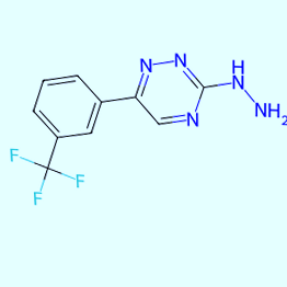 NNc1ncc(-c2cccc(C(F)(F)F)c2)nn1